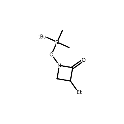 CCC1CN(O[Si](C)(C)C(C)(C)C)C1=O